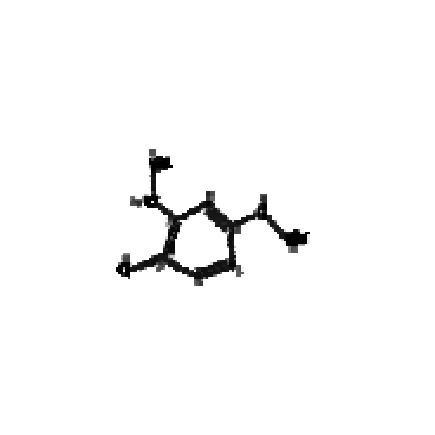 CC(C)(C)Oc1ccc(Cl)c(OC(C)(C)C)c1